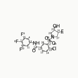 O=C(Nc1cc(F)c(F)c(F)c1)c1ccc(Cl)c(S(=O)(=O)N2CC(O)C(F)C2)c1